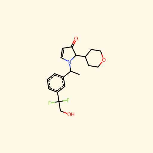 CC(c1cccc(C(F)(F)CO)c1)N1C=CC(=O)C1C1CCOCC1